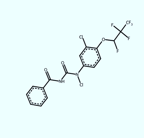 O=C(NC(=O)N(Cl)c1ccc(OC(F)C(F)(F)C(F)(F)F)c(Cl)c1)c1ccccc1